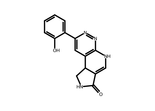 O=C1NCC2C1=CNc1nnc(-c3ccccc3O)cc12